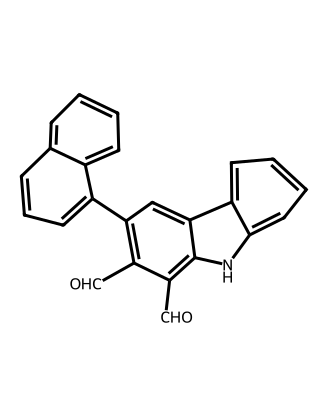 O=Cc1c(-c2cccc3ccccc23)cc2c([nH]c3ccccc32)c1C=O